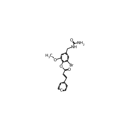 COc1cc(CNC(N)=O)cc(Br)c1OC(=O)C=Cc1ccccc1